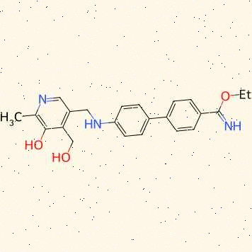 CCOC(=N)c1ccc(-c2ccc(NCc3cnc(C)c(O)c3CO)cc2)cc1